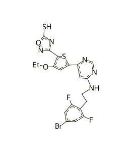 CCOc1cc(-c2cc(NCCc3c(F)cc(Br)cc3F)ncn2)sc1-c1noc(S)n1